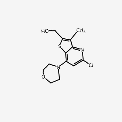 Cc1c(CO)sc2c(N3CCOCC3)cc(Cl)nc12